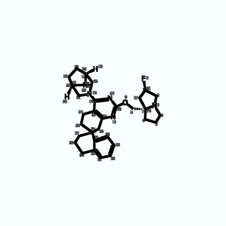 F[C@H]1CN2CCC[C@@]2(COc2nc3c(c(N4C[C@H]5CC[C@@H](C4)N5)n2)CCC2(CCCc4ccccc42)C3)C1